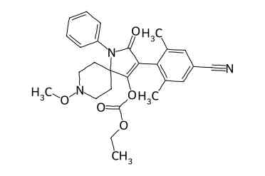 CCOC(=O)OC1=C(c2c(C)cc(C#N)cc2C)C(=O)N(c2ccccc2)C12CCN(OC)CC2